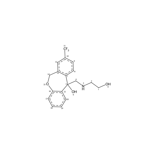 OCCNCC1(O)c2ccc(C(F)(F)F)cc2COc2ccccc21